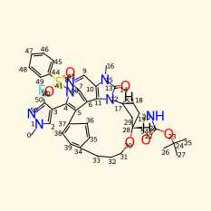 Cn1cc(-c2c3c4c(ncc5c4n(c(=O)n5C)[C@H]4C[C@H](NC(=O)OC(C)(C)C)[C@@H](C4)OCCCc4ccc-3cc4)n2S(=O)(=O)c2ccccc2)c(F)n1